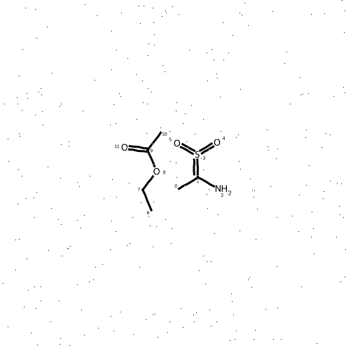 CC(N)=S(=O)=O.CCOC(C)=O